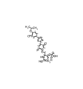 CC(C)Oc1ccc(-c2nnc(-c3cc(F)c(OC[C@H](NC(=O)O)[C@H](C)OP(=O)(O)O)cc3Cl)s2)cc1Cl